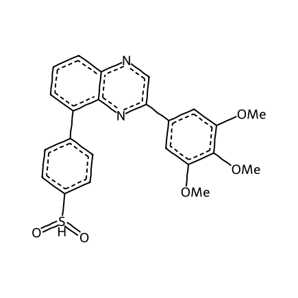 COc1cc(-c2cnc3cccc(-c4ccc([SH](=O)=O)cc4)c3n2)cc(OC)c1OC